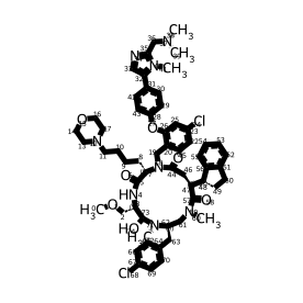 COC[C@@H]1NC(=O)[C@H](CCCCN2CCOCC2)N(Cc2ccc(Cl)cc2Oc2ccc(-c3cnc(CN(C)C)n3C)cc2)C(=O)C[C@@H]([C@H]2CCc3ccccc32)C(=O)N(C)C[C@@H](Cc2ccc(Cl)cc2)N(C)C1O